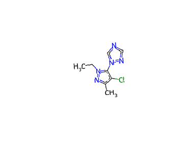 CCn1nc(C)c(Cl)c1-n1cncn1